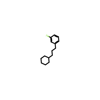 Fc1cccc(CCCC2CCCCC2)c1